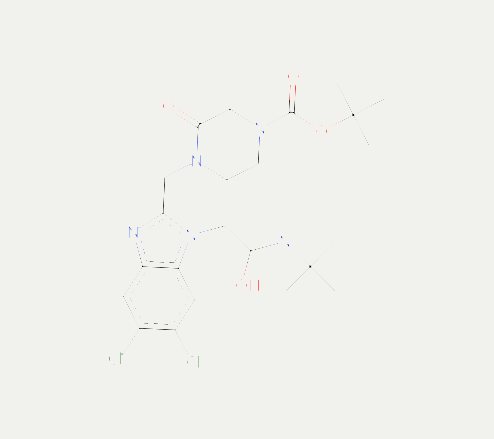 CC(C)(C)NC(O)Cn1c(CN2CCN(C(=O)OC(C)(C)C)CC2=O)nc2cc(Cl)c(Cl)cc21